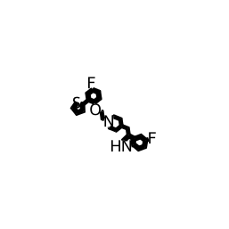 Fc1ccc(OCCN2CCC(Cc3c[nH]c4ccc(F)cc34)CC2)c(-c2cccs2)c1